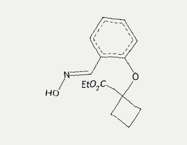 CCOC(=O)C1(Oc2ccccc2C=NO)CCC1